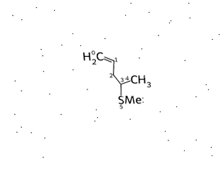 C=CCC(C)SC